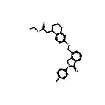 CCOC(=O)CC1CCCc2cc(OCc3cccc4c3CN(c3ccc(C)cc3)C4=O)ccc21